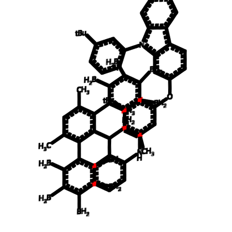 Bc1c(B)c(B)c(-c2c(C)cc(C)c(-c3c(B)c(B)c(B)c(B)c3B)c2C(/C(C)=C\C)c2ccccc2Nc2cc(Oc3ccc4c5ccccc5n(-c5cc(C(C)(C)C)ccn5)c4c3)cc(C(C)(C)C)c2)c(B)c1B